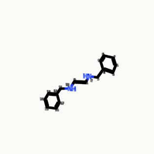 C(=CNCc1ccccc1)NCc1ccccc1